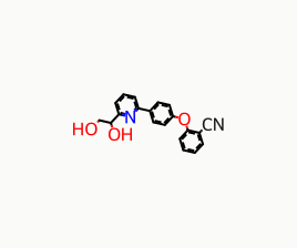 N#Cc1ccccc1Oc1ccc(-c2cccc(C(O)CO)n2)cc1